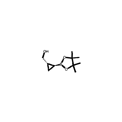 CC1(C)OB([C@H]2C[C@@H]2CO)OC1(C)C